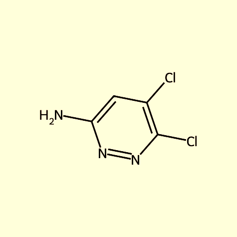 Nc1cc(Cl)c(Cl)nn1